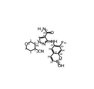 N#CC1CCOC[C@@H]1n1cc(C(N)=O)c(Nc2cc3c(cc2F)OB(O)C=C3)n1